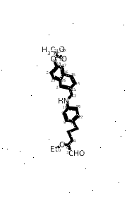 CCOC(C=O)CCCc1ccc(NCc2ccc3cc(OS(C)(=O)=O)ccc3c2)cc1